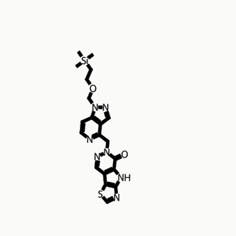 C[Si](C)(C)CCOCn1ncc2c(Cn3ncc4c([nH]c5ncsc54)c3=O)nccc21